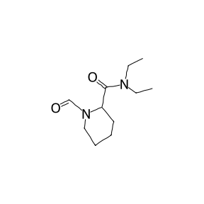 CCN(CC)C(=O)C1CCCCN1C=O